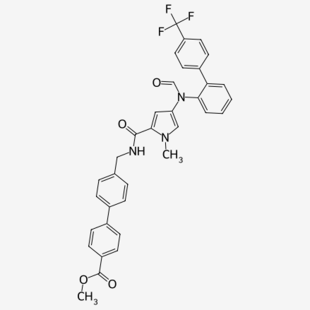 COC(=O)c1ccc(-c2ccc(CNC(=O)c3cc(N(C=O)c4ccccc4-c4ccc(C(F)(F)F)cc4)cn3C)cc2)cc1